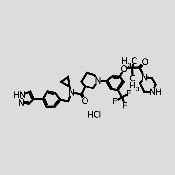 CC(C)(Oc1cc(N2CCCC(C(=O)N(Cc3ccc(-c4cn[nH]c4)cc3)C3CC3)C2)cc(C(F)(F)F)c1)C(=O)N1CCNCC1.Cl